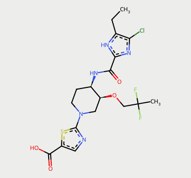 CCc1[nH]c(C(=O)N[C@@H]2CCN(c3ncc(C(=O)O)s3)C[C@@H]2OCC(C)(F)F)nc1Cl